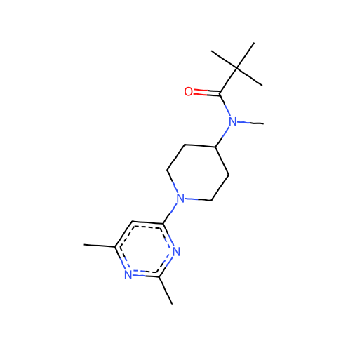 Cc1cc(N2CCC(N(C)C(=O)C(C)(C)C)CC2)nc(C)n1